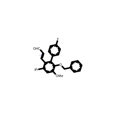 COc1cc(C(C)C)c(/C=C/C=O)c(-c2ccc(F)cc2)c1OCc1ccccc1